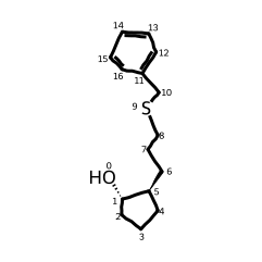 O[C@H]1CCC[C@@H]1CCCSCc1ccccc1